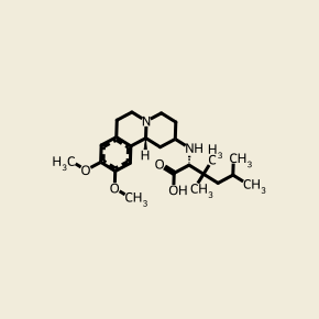 COc1cc2c(cc1OC)[C@H]1CC(N[C@@H](C(=O)O)C(C)(C)CC(C)C)CCN1CC2